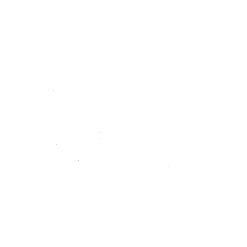 Cc1ccc(CCCOc2nsnc2-c2cccnc2)s1